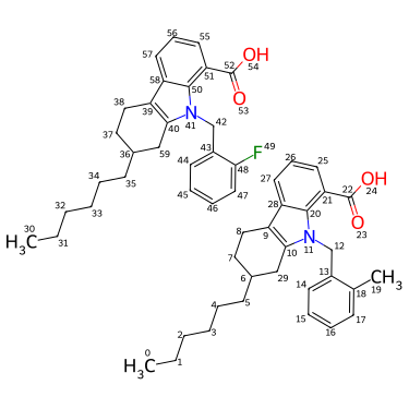 CCCCCCC1CCc2c(n(Cc3ccccc3C)c3c(C(=O)O)cccc23)C1.CCCCCCC1CCc2c(n(Cc3ccccc3F)c3c(C(=O)O)cccc23)C1